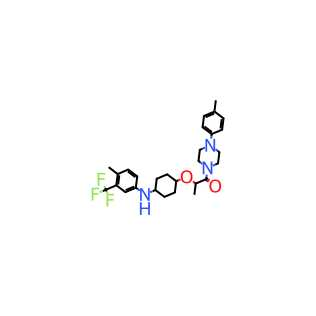 Cc1ccc(N2CCN(C(=O)C(C)OC3CCC(Nc4ccc(C)c(C(F)(F)F)c4)CC3)CC2)cc1